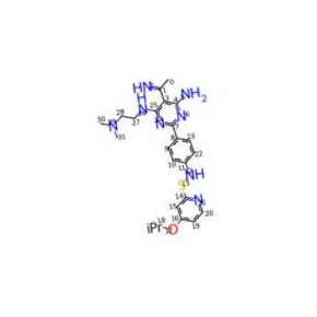 CC(=N)c1c(N)nc(-c2ccc(NSc3cc(OC(C)C)ccn3)cc2)nc1NCCN(C)C